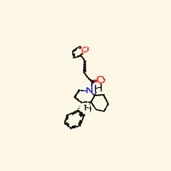 O=C(/C=C/c1ccco1)N1CC[C@@H](c2ccccc2)[C@@H]2CCCC[C@H]21